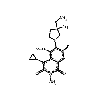 COc1c(N2CCC(O)(CN)C2)c(F)cc2c(=O)n(N)c(=O)n(C3CC3)c12